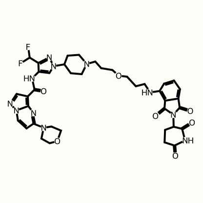 O=C1CCC(N2C(=O)c3cccc(NCCCOCCCN4CCC(n5cc(NC(=O)c6cnn7ccc(N8CCOCC8)nc67)c(C(F)F)n5)CC4)c3C2=O)C(=O)N1